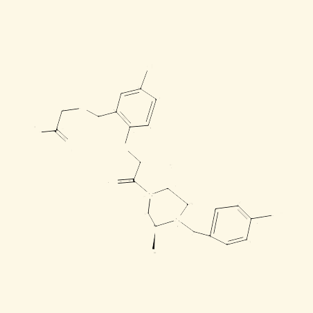 C[C@H](OCc1cc(Cl)ccc1OCC(=O)N1C[C@H](C)N(Cc2ccc(F)cc2)C[C@H]1C)C(=O)O